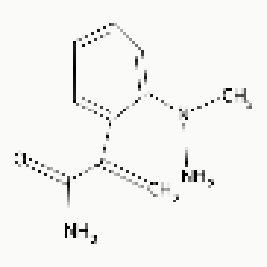 C=C(C(N)=O)c1ccccc1N(C)N